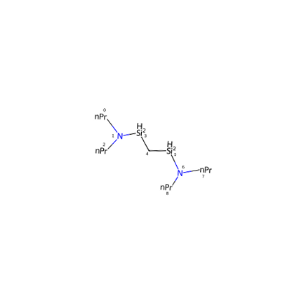 CCCN(CCC)[SiH2]C[SiH2]N(CCC)CCC